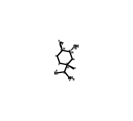 [CH2]CC(N)[C@]1(C)CC[C@@H](C(C)C)[C@H](O)C1